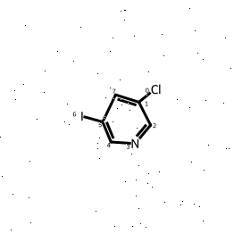 Clc1cncc(I)c1